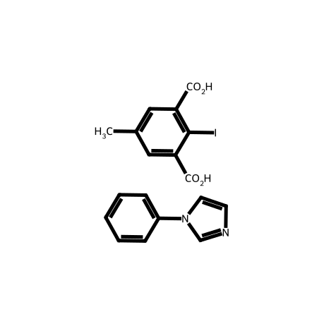 Cc1cc(C(=O)O)c(I)c(C(=O)O)c1.c1ccc(-n2ccnc2)cc1